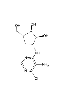 Nc1c(Cl)ncnc1N[C@@H]1C[C@H](CO)[C@@H](O)[C@H]1O